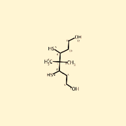 CC(C)(C(S)CCO)C(S)CCO